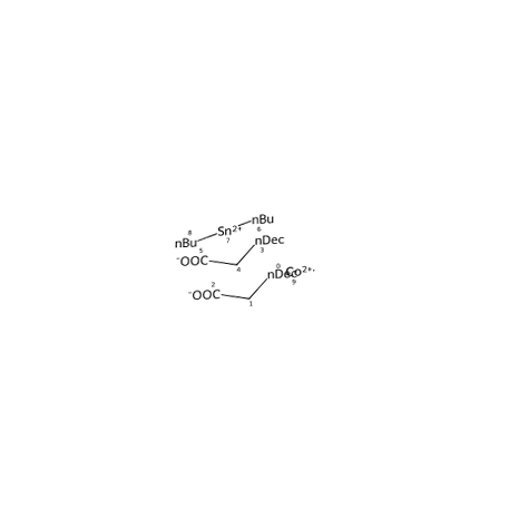 CCCCCCCCCCCC(=O)[O-].CCCCCCCCCCCC(=O)[O-].CCC[CH2][Sn+2][CH2]CCC.[Co+2]